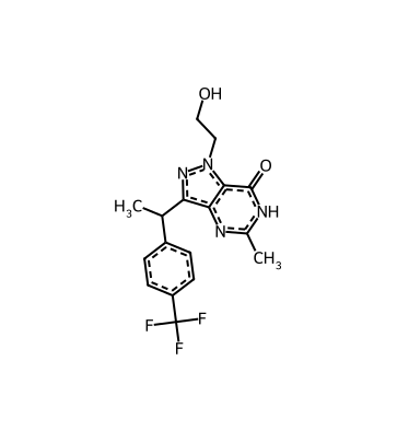 Cc1nc2c(C(C)c3ccc(C(F)(F)F)cc3)nn(CCO)c2c(=O)[nH]1